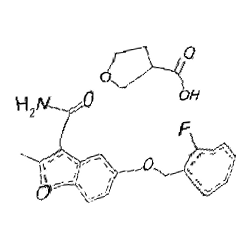 Cc1oc2ccc(OCc3ccccc3F)cc2c1C(N)=O.O=C(O)C1CCOC1